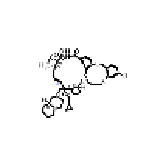 C[C@@H]1[C@@H](C)C/C=C/[C@@](CN2CCN3CCCC[C@@H]3C2)(OCC2CC2)[C@@H]2CC[C@H]2CN2CCCCc3cc(Cl)ccc3COc3ccc(cc32)C(=O)NS1(=O)=O